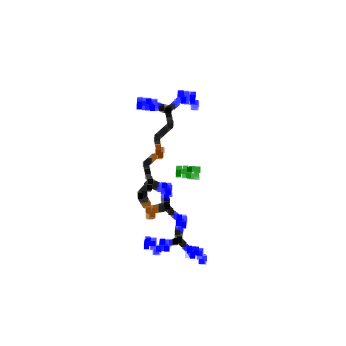 Cl.N=C(N)CCSCc1csc(N=C(N)N)n1